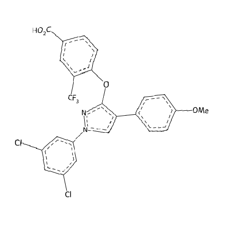 COc1ccc(-c2cn(-c3cc(Cl)cc(Cl)c3)nc2Oc2ccc(C(=O)O)cc2C(F)(F)F)cc1